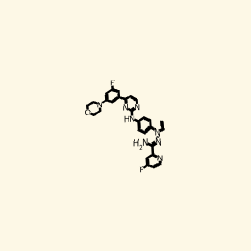 C=CN(/N=C(\N)c1cc(F)ccn1)c1ccc(Nc2nccc(-c3cc(F)cc(N4CCOCC4)c3)n2)cc1